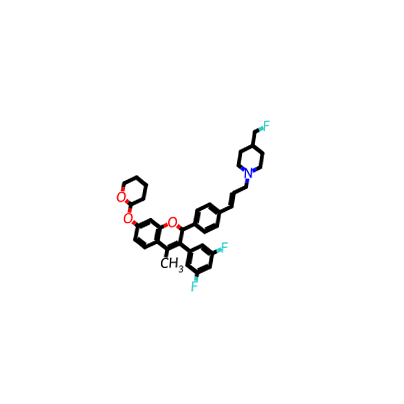 CC1=C(c2cc(F)cc(F)c2)C(c2ccc(/C=C/CN3CCC(CF)CC3)cc2)Oc2cc(OC3CCCCO3)ccc21